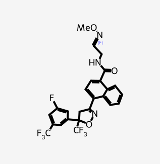 CO/N=C/CNC(=O)c1ccc(C2=NOC(c3cc(F)cc(C(F)(F)F)c3)(C(F)(F)F)C2)c2ccccc12